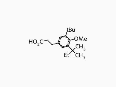 CCC(C)(C)c1cc(CCC(=O)O)cc(C(C)(C)C)c1OC